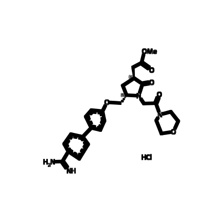 COC(=O)C[C@@H]1C[C@@H](COc2ccc(-c3ccc(C(=N)N)cc3)cc2)N(CC(=O)N2CCOCC2)C1=O.Cl